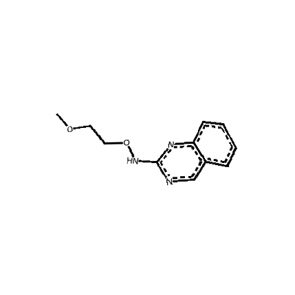 COCCONc1ncc2ccccc2n1